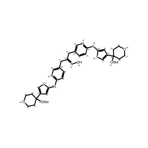 COC1(c2csc(Sc3ccc(CC(Cc4ccc(Sc5cc(C6(OC)CCOCC6)cs5)nc4)=NO)cn3)c2)CCOCC1